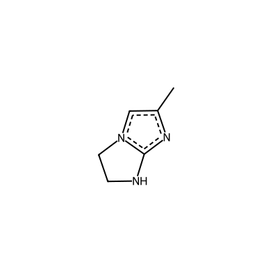 Cc1cn2c(n1)NCC2